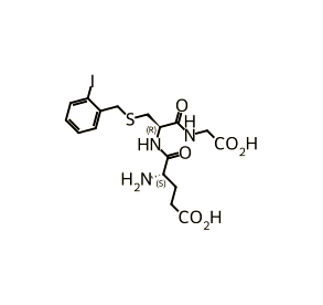 N[C@@H](CCC(=O)O)C(=O)N[C@@H](CSCc1ccccc1I)C(=O)NCC(=O)O